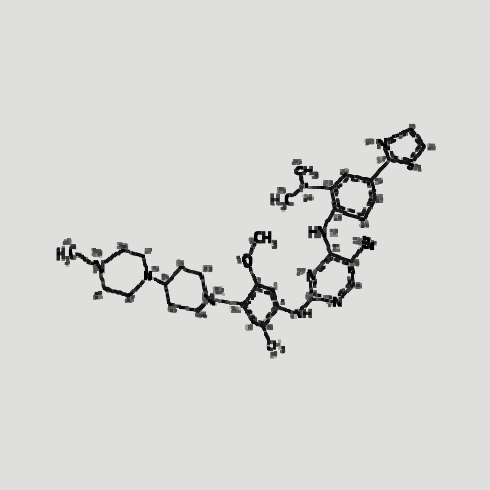 COc1cc(Nc2ncc(Br)c(Nc3ccc(-c4nccs4)cc3P(C)C)n2)c(C)cc1N1CCC(N2CCN(C)CC2)CC1